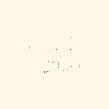 CCC(Br)C(CC)Oc1cccc(C(N)=O)c1.CCCNOC(=O)O